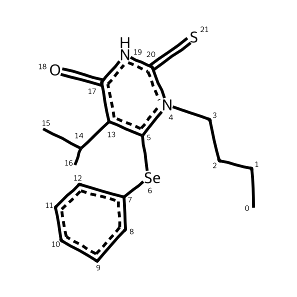 CCCCn1c([Se]c2ccccc2)c(C(C)C)c(=O)[nH]c1=S